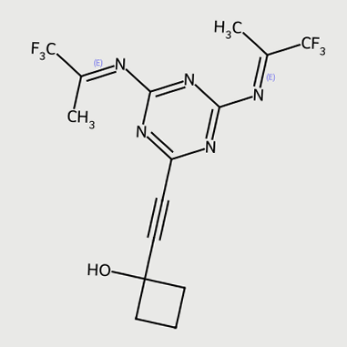 C/C(=N\c1nc(C#CC2(O)CCC2)nc(/N=C(\C)C(F)(F)F)n1)C(F)(F)F